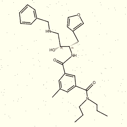 CCCN(CCC)C(=O)c1cc(C)cc(C(=O)N[C@@H](Cc2ccoc2)[C@H](O)CNCc2ccccc2)c1